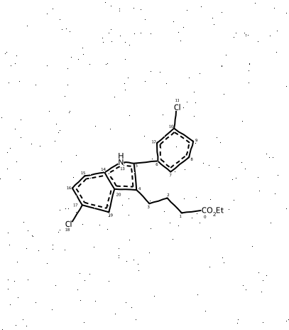 CCOC(=O)CCCc1c(-c2cccc(Cl)c2)[nH]c2ccc(Cl)cc12